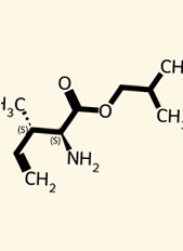 C=C[C@H](C)[C@H](N)C(=O)OCC(C)C